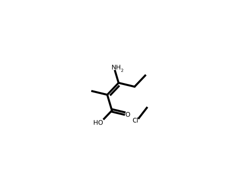 CC/C(N)=C(/C)C(=O)O.CCl